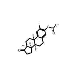 C[C@]12CC[C@@H]3c4cc(I)c(O[N+](=O)[O-])cc4CC[C@H]3[C@@H]1CCC2=O